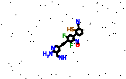 N#Cc1cccc(-c2cc(F)c(C#Cc3cnc(N)c(C=N)c3)c(F)c2N=O)c1S